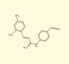 C=Cc1ccc(NC(=C)/C=C/c2ccc(C)cc2C)cc1